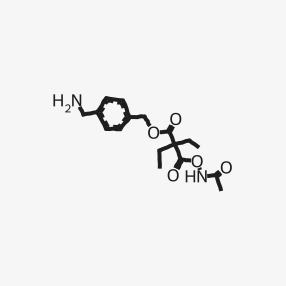 CCC(CC)(C(=O)OCc1ccc(CN)cc1)C(=O)ONC(C)=O